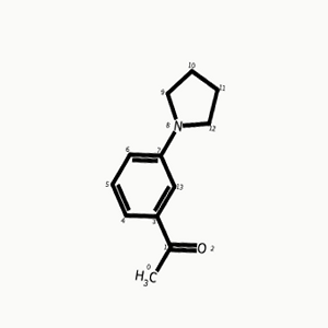 CC(=O)c1cccc(N2CCCC2)c1